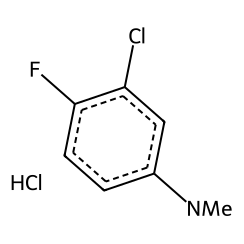 CNc1ccc(F)c(Cl)c1.Cl